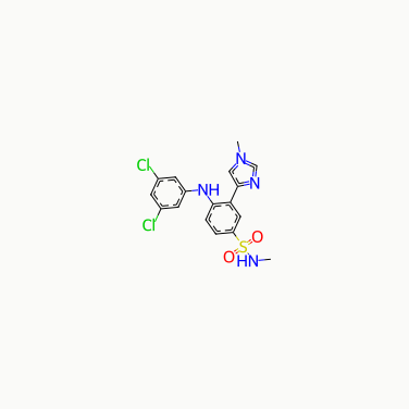 CNS(=O)(=O)c1ccc(Nc2cc(Cl)cc(Cl)c2)c(-c2cn(C)cn2)c1